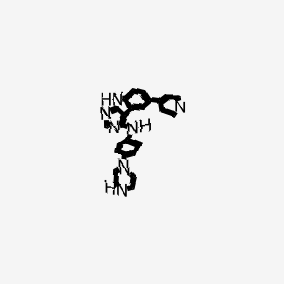 c1cc(-c2ccc3[nH]c4ncnc(Nc5ccc(N6CCNCC6)cc5)c4c3c2)ccn1